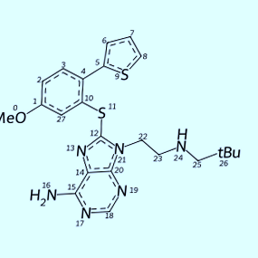 COc1ccc(-c2cccs2)c(Sc2nc3c(N)ncnc3n2CCNCC(C)(C)C)c1